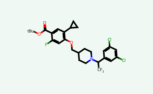 CC(C)(C)OC(=O)c1cc(C2CC2)c(OCC2CCN(C(c3cc(Cl)cc(Cl)c3)C(F)(F)F)CC2)cc1F